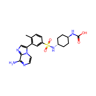 Cc1ccc(S(=O)(=O)N[C@H]2CC[C@H](NC(=O)O)CC2)cc1-c1cnc2c(N)nccn12